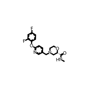 CNC(=O)[C@@H]1CN(Cc2ccc(Oc3ccc(F)cc3F)nc2)CCO1